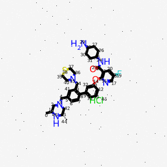 CC1CN(Cc2ccc(-c3cccc(Oc4ncc(F)cc4C(=O)NC4CCC(N)CC4)c3)c(CN3CCSCC3)c2)C[C@H](C)N1.Cl